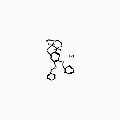 CCCN1CCO[C@@H]2c3cc(OCc4ccccc4)c(OCc4ccccc4)cc3CC[C@H]21.Cl